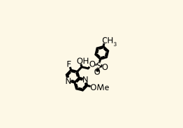 COc1ccc2ncc(F)c(C(O)COS(=O)(=O)c3ccc(C)cc3)c2n1